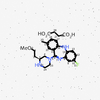 COCC[C@H]1CN(C2=Nc3cc(F)ccc3Nc3ccc(C)cc32)CCN1.O=C(O)CCC(=O)O